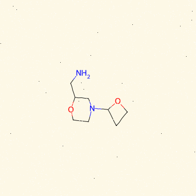 NCC1CN(C2CCO2)CCO1